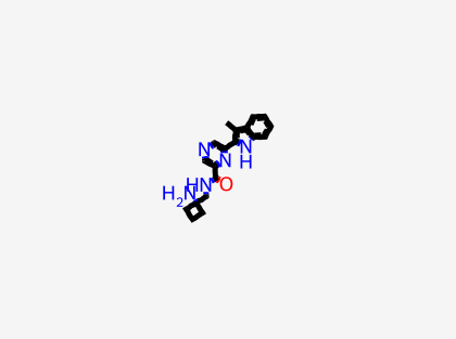 Cc1c(-c2cncc(C(=O)NCC3(N)CCC3)n2)[nH]c2ccccc12